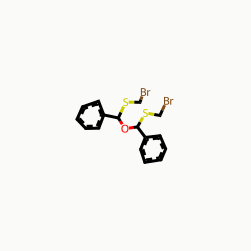 BrCSC(OC(SCBr)c1ccccc1)c1ccccc1